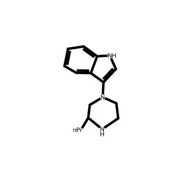 CCCC1CN(c2c[nH]c3ccccc23)CCN1